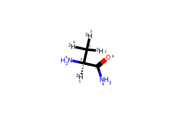 [2H]C([2H])([2H])[C@]([2H])(N)C(N)=O